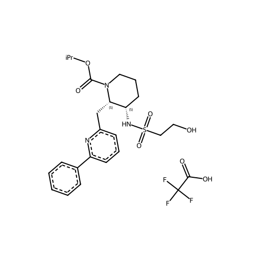 CC(C)OC(=O)N1CCC[C@H](NS(=O)(=O)CCO)[C@@H]1Cc1cccc(-c2ccccc2)n1.O=C(O)C(F)(F)F